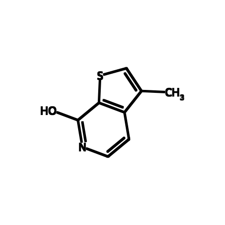 Cc1csc2c(O)nccc12